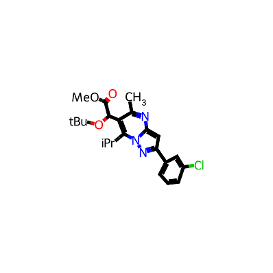 COC(=O)C(OC(C)(C)C)c1c(C)nc2cc(-c3cccc(Cl)c3)nn2c1C(C)C